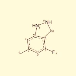 Cc1cc(F)c2c(c1)NNC2